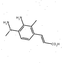 Cc1c(/C=C/C(=O)O)ccc(N(C)N)c1N